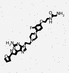 NCC(=O)NCCOc1ccc(N2CCN(CCn3cnc4c3nc(N)n3nc(-c5ccco5)cc43)CC2)c(F)c1